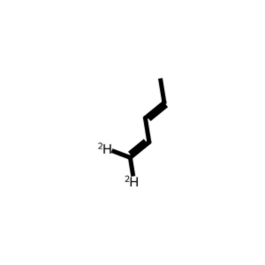 [2H]C([2H])=CC=CC